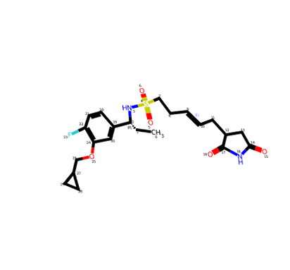 CC[C@@H](NS(=O)(=O)CC/C=C/CC1CC(=O)NC1=O)c1ccc(F)c(OCC2CC2)c1